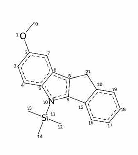 COc1ccc2c(c1)c1c(n2[Si](C)(C)C)-c2ccccc2C1